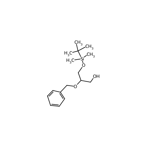 CC(C)(C)[Si](C)(C)OCC(CO)OCc1ccccc1